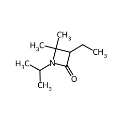 CCC1C(=O)N(C(C)C)C1(C)C